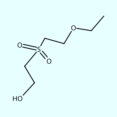 CCOCCS(=O)(=O)CCO